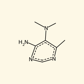 Cc1ncnc(N)c1N(C)C